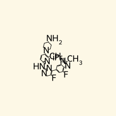 Cc1nc(Nc2ncc(F)c(-c3cc(F)c4nc(C)n(C(C)C)c4c3)n2)ccc1N1CCC(N)CC1